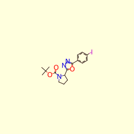 CC(C)(C)OC(=O)N1CCCC1c1nnc(-c2ccc(I)cc2)o1